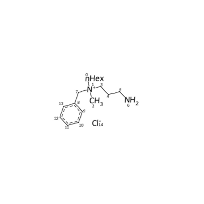 CCCCCC[N+](C)(CCCN)Cc1ccccc1.[Cl-]